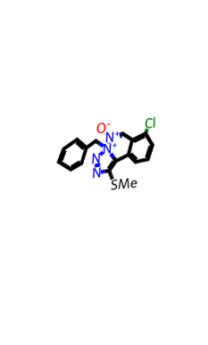 CSC1=C2c3cccc(Cl)c3C=[N+]([O-])[N+]2(Cc2ccccc2)N=N1